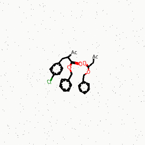 CC(=O)C(Cc1ccc(Cl)cc1)C(=O)OCc1ccccc1.CC(=O)CC(=O)OCc1ccccc1